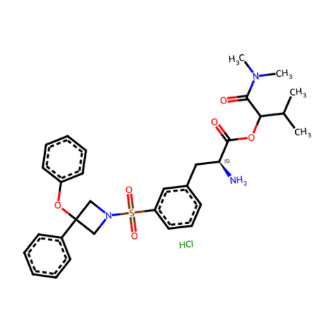 CC(C)C(OC(=O)[C@@H](N)Cc1cccc(S(=O)(=O)N2CC(Oc3ccccc3)(c3ccccc3)C2)c1)C(=O)N(C)C.Cl